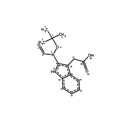 CC(C)(C)ON(C=O)c1[nH]c2ccccc2c1CC(=O)O